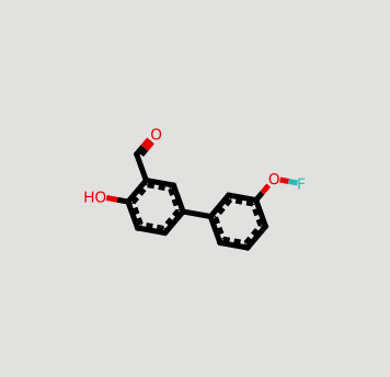 O=Cc1cc(-c2cccc(OF)c2)ccc1O